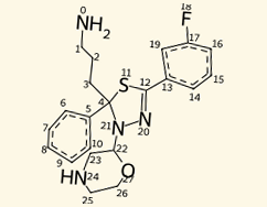 NCCCC1(c2ccccc2)SC(c2cccc(F)c2)=NN1C1CNCCO1